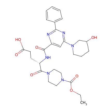 CCOC(=O)N1CCN(C(=O)[C@H](CCC(=O)O)NC(=O)c2cc(N3CCCC(O)C3)nc(-c3ccccc3)n2)CC1